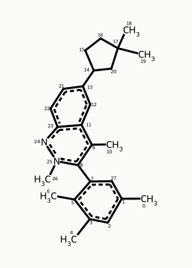 Cc1cc(C)c(C)c(-c2c(C)c3cc(C4CCC(C)(C)C4)ccc3n[n+]2C)c1